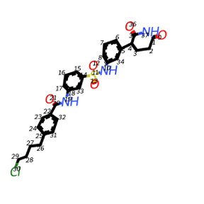 O=C1CCC(c2cccc(NS(=O)(=O)c3cccc(NC(=O)c4ccc(CCCCCl)cc4)c3)c2)C(=O)N1